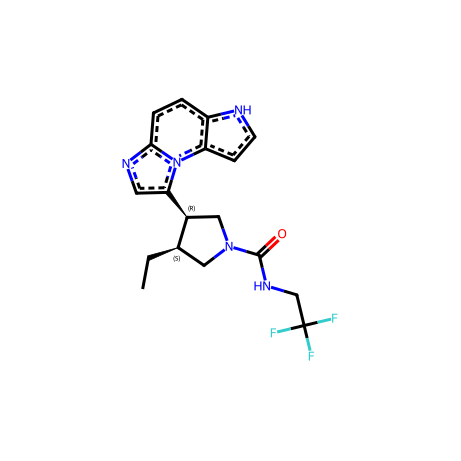 CC[C@@H]1CN(C(=O)NCC(F)(F)F)C[C@@H]1c1cnc2ccc3[nH]ccc3n12